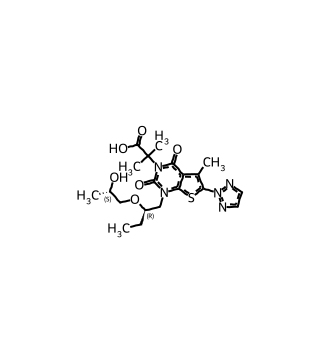 CC[C@H](Cn1c(=O)n(C(C)(C)C(=O)O)c(=O)c2c(C)c(-n3nccn3)sc21)OC[C@H](C)O